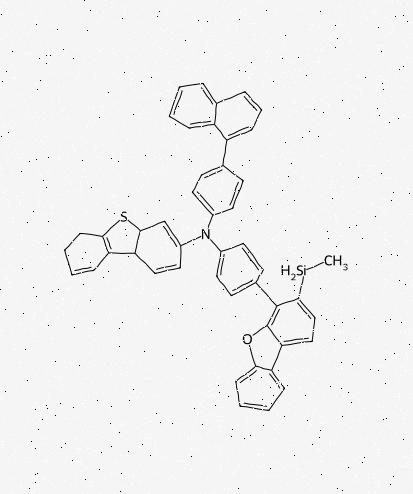 C[SiH2]c1ccc2c(oc3ccccc32)c1-c1ccc(N(C2=CC3SC4=C(C=CCC4)C3C=C2)c2ccc(-c3cccc4ccccc34)cc2)cc1